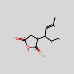 C/C=C/C(CC)C1CC(=O)OC1=O